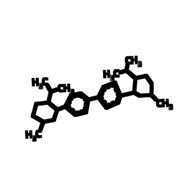 CC1CCC(C(C)C)C(c2ccc(-c3ccc(C4CC(C)CCC4C(C)C)cc3)cc2)C1